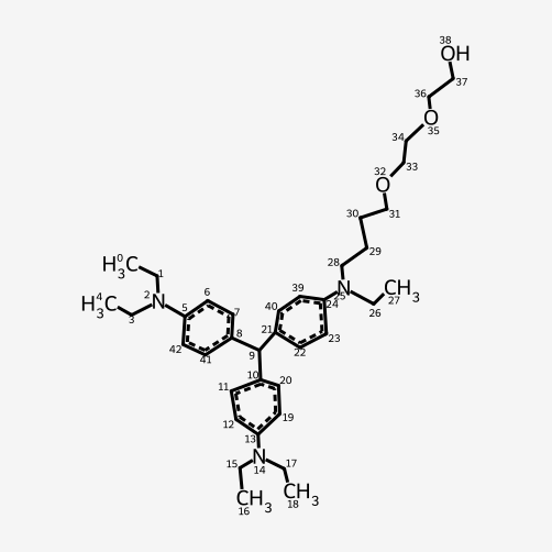 CCN(CC)c1ccc(C(c2ccc(N(CC)CC)cc2)c2ccc(N(CC)CCCCOCCOCCO)cc2)cc1